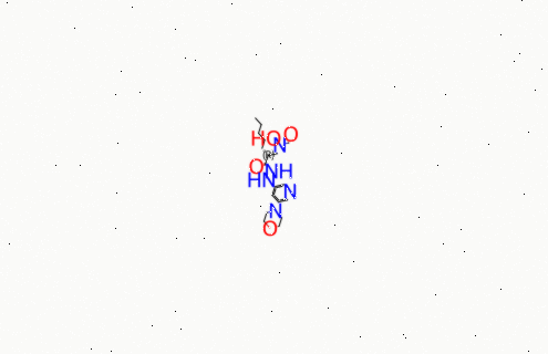 CCCCC[C@H](CN(O)C=O)C(=O)NNc1cncc(N2CCOCC2)c1